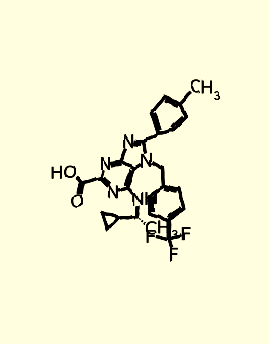 Cc1ccc(-c2nc3nc(C(=O)O)nc(N[C@H](C)C4CC4)c3n2Cc2ccc(C(F)(F)F)cc2)cc1